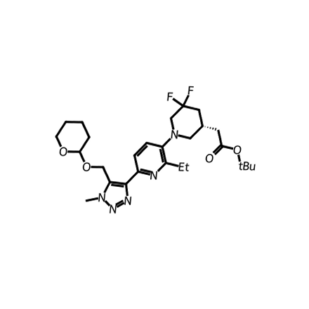 CCc1nc(-c2nnn(C)c2COC2CCCCO2)ccc1N1C[C@@H](CC(=O)OC(C)(C)C)CC(F)(F)C1